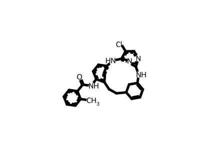 Cc1ccccc1C(=O)Nc1ccc2cc1CCC1C=CC=C(C1)Nc1ncc(Cl)c(n1)N2